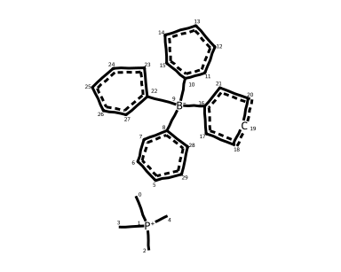 C[P+](C)(C)C.c1ccc([B-](c2ccccc2)(c2ccccc2)c2ccccc2)cc1